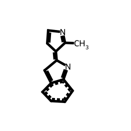 CC1=NC=CC1=C1C=c2ccccc2=N1